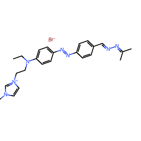 CCN(CC[n+]1ccn(C)c1)c1ccc(N=Nc2ccc(C=NN=C(C)C)cc2)cc1.[Br-]